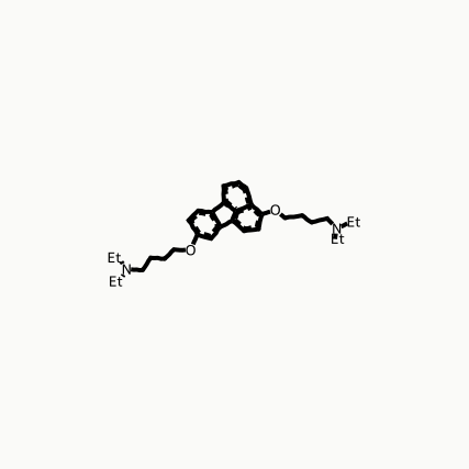 CCN(CC)CCCCOc1ccc2c(c1)-c1ccc(OCCCCN(CC)CC)c3cccc-2c13